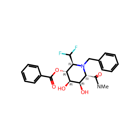 CNC(=O)[C@@H]1[C@@H](O)[C@@H](O)[C@H](OC(=O)c2ccccc2)[C@@H](C(F)F)N1Cc1ccccc1